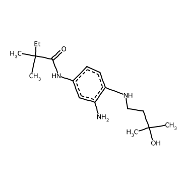 CCC(C)(C)C(=O)Nc1ccc(NCCC(C)(C)O)c(N)c1